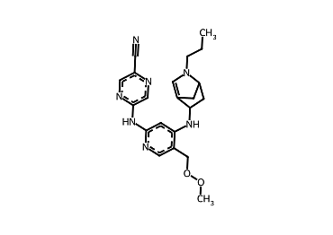 CCCN1C=C2CC1CC2Nc1cc(Nc2cnc(C#N)cn2)ncc1COOC